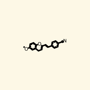 COc1ccc2c(c1)CC=C(C=Cc1ccc(C#N)cc1)O2